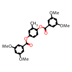 COc1cc(OC)cc(C(=O)Oc2ccc(OC(=O)c3cc(OC)cc(OC)c3)c(C)c2)c1